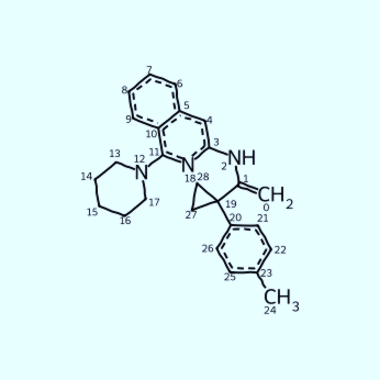 C=C(Nc1cc2ccccc2c(N2CCCCC2)n1)C1(c2ccc(C)cc2)CC1